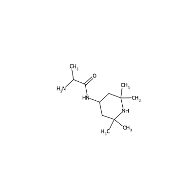 CC(N)C(=O)NC1CC(C)(C)NC(C)(C)C1